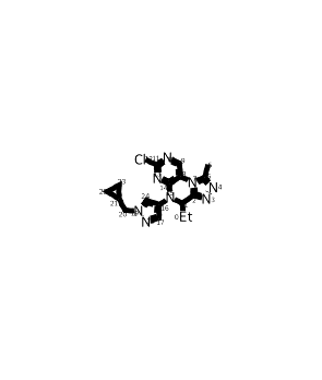 CCC1c2nnc(C)n2-c2cnc(Cl)nc2N1c1cnn(CC2CC2)c1